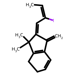 C=C1C2=C(CCC=C2)C(C)(C)/C1=C/C(I)=C\C